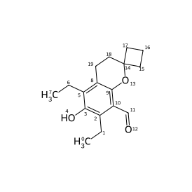 CCc1c(O)c(CC)c2c(c1C=O)OC1(CCC1)CC2